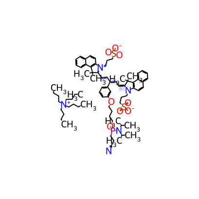 CC(C)N(C(C)C)P(CCC#N)OCCCCOc1cccc(C(=C\C=C2\N(CCCS(=O)(=O)[O-])c3ccc4ccccc4c3C2(C)C)/C=C/C2=[N+](CCCS(=O)(=O)[O-])c3ccc4ccccc4c3C2(C)C)c1.CCCC[N+](CCCC)(CCCC)CCCC